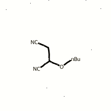 CCCCOC(C#N)CC#N